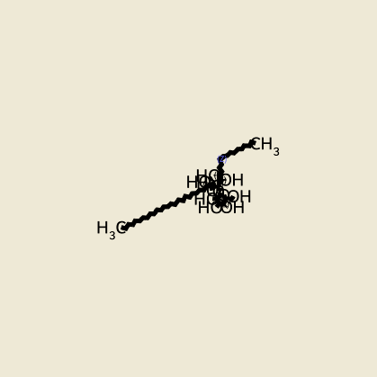 CCCCCCCCC/C=C\CCC[C@@H](O)[C@@H](O)[C@H](CO[C@@H]1O[C@H](CO)[C@@H](O)C(O)C1O)NC(=O)[C@H](O)CCCCCCCCCCCCCCCCCCCCCCCC